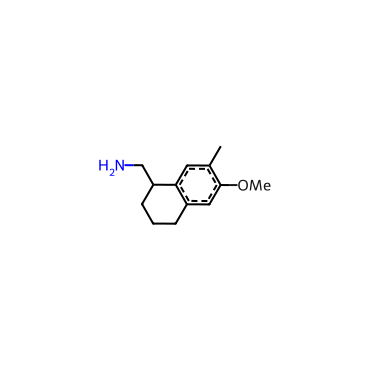 COc1cc2c(cc1C)C(CN)CCC2